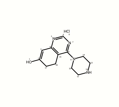 Cl.OC1=Cc2ncnc(N3CCNCC3)c2CC1